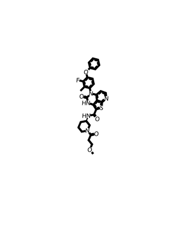 COCCC(=O)N1CCC[C@@H](NC(=O)c2sc3nccc4c3c2NC(=O)N4c2ccc(Oc3ccccc3)c(F)c2C)C1